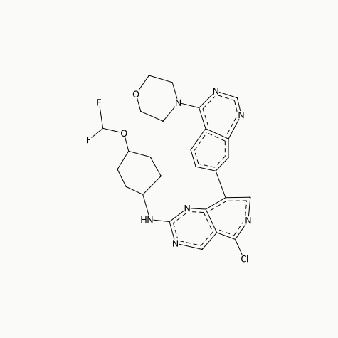 FC(F)OC1CCC(Nc2ncc3c(Cl)ncc(-c4ccc5c(N6CCOCC6)ncnc5c4)c3n2)CC1